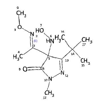 CO/N=C(\C)C1(NO)C(=O)N(C)N=C1C(C)(C)C